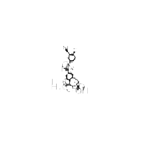 CC(C)(C)C1CN(C(=O)O)CCc2cc(-c3noc(-c4ccc(F)c(C#N)c4)n3)ccc21